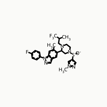 Cc1cc2c(cnn2-c2ccc(F)cc2)cc1C1CN([S+]([O-])c2cnn(C)c2)CCN1CC(C)C(F)(F)F